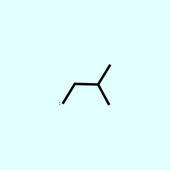 [CH]CC(C)C